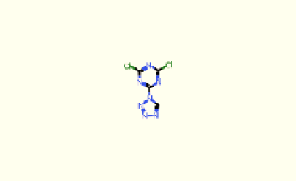 Clc1nc(Cl)nc(-n2cnnn2)n1